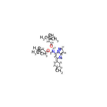 C=C1CCC(c2cc(N(COCC[Si](C)(C)C)COCC[Si](C)(C)C)n3nccc3n2)CC1